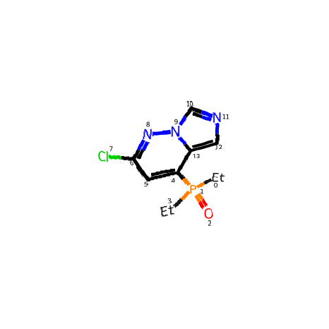 CCP(=O)(CC)c1cc(Cl)nn2cncc12